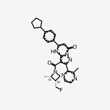 Cc1nccnc1-c1nn2c(=O)cc(-c3ccc(C4CCCC4)cc3)[nH]c2c1C(=O)N1C[C@H](CF)[C@@H]1C